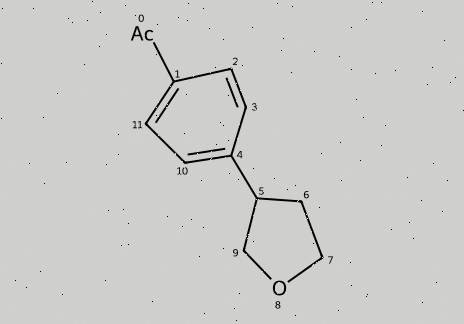 CC(=O)c1ccc(C2CCOC2)cc1